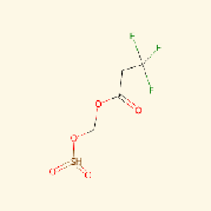 O=C(CC(F)(F)F)OCO[SH](=O)=O